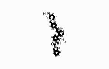 Cc1c(NC(=O)N2Cc3ccccc3C2)cccc1-c1ncnc2[nH]c(-c3ccc(CN4CCCC(N)C4)cc3)cc12